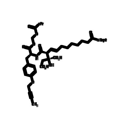 CC#CCOc1ccc(C[C@H](NC(=O)[C@@H](/C=C/CCCCCCC(=O)CCCCCCC)[C@@](O)(CC(=O)O)C(=O)O)C(=O)OCOC(=O)CCC)cc1